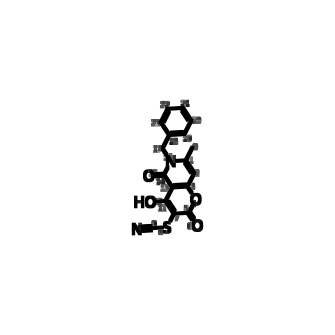 Cc1cc2oc(=O)c(SC#N)c(O)c2c(=O)n1Cc1ccccc1